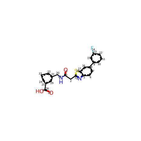 O=C(Cc1nc2ccc(-c3cccc(F)c3)cc2s1)NCc1cccc(C(=O)O)c1